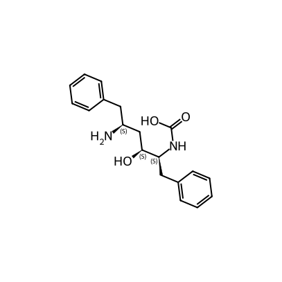 N[C@@H](Cc1ccccc1)C[C@H](O)[C@H](Cc1ccccc1)NC(=O)O